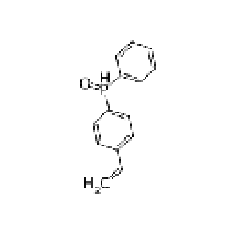 C=Cc1ccc([PH](=O)c2ccccc2)cc1